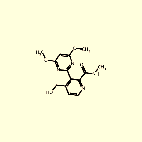 CNC(=O)c1nccc(CO)c1-c1nc(OC)cc(OC)n1